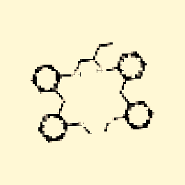 CCC(CPc1ccccc1Cc1ccccc1OC)Pc1ccccc1Cc1ccccc1OC